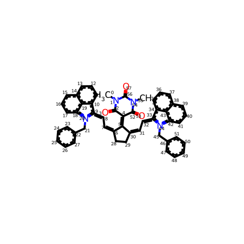 CN1C(=O)C(=C2/C(=C\C=c3\c4cccc5cccc(c54)n3Cc3ccccc3)CC/C2=C/C=c2/c3cccc4cccc(c43)n2Cc2ccccc2)C(=O)N(C)C1=O